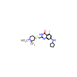 O=C(O)N1CC[C@H](SCc2nc3cc(NC4CCCC4)cc(F)c3c(=O)[nH]2)C[C@H]1C(F)(F)F